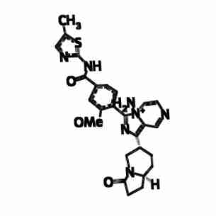 COc1cc(C(=O)Nc2ncc(C)s2)ccc1C1=NC([C@@H]2CC[C@H]3CCC(=O)N3C2)=C2C=NC=C[N+]12N